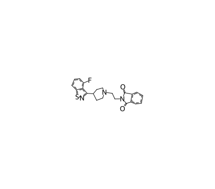 O=C1c2ccccc2C(=O)N1CCN1CCC(c2nsc3cccc(F)c23)CC1